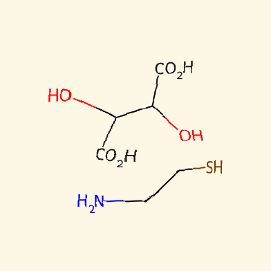 NCCS.O=C(O)C(O)C(O)C(=O)O